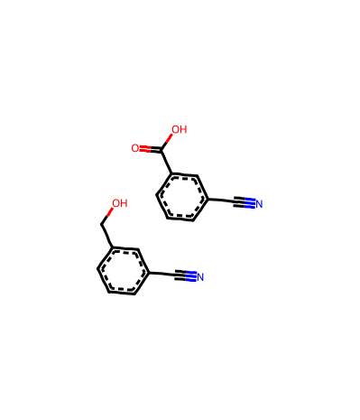 N#Cc1cccc(C(=O)O)c1.N#Cc1cccc(CO)c1